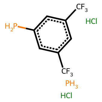 Cl.Cl.FC(F)(F)c1cc(P)cc(C(F)(F)F)c1.P